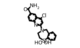 NC(=O)c1ccc2nc(N3CCS(O)(O)c4ccccc4C3)cc(Cl)c2c1